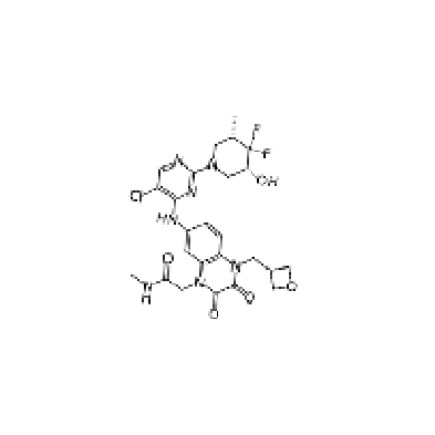 CNC(=O)Cn1c(=O)c(=O)n(CC2COC2)c2ccc(Nc3nc(N4C[C@@H](O)C(F)(F)[C@@H](C)C4)ncc3Cl)cc21